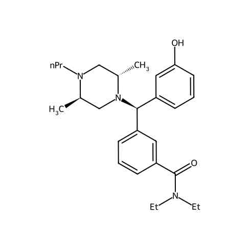 CCCN1C[C@H](C)N([C@@H](c2cccc(O)c2)c2cccc(C(=O)N(CC)CC)c2)C[C@H]1C